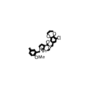 COc1ccc(C)cc1CN1CC[C@@H](C(=O)N(Cc2cc(Cl)c3c(c2)OCCCO3)CC(C)C)C1